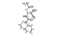 NC(=O)CC(NC(=O)N1CC=Cc2ccccc21)C(=O)O